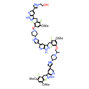 COc1cc(OC)c(F)c(Cc2n[nH]c3ncc(-c4cnn(C5CCN(C(C)COc6cc(OC)c(F)c(Cc7n[nH]c8ncc(-c9cnn(C%10CCN(Oc%11cc(OC)c(F)c(Cc%12n[nH]c%13ncc(-c%14cnn(CCO)c%14)cc%12%13)c%11F)CC%10)c9)cc78)c6F)CC5)c4)cc23)c1F